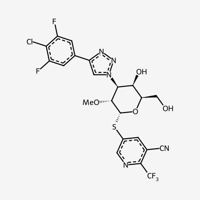 CO[C@@H]1[C@@H](n2cc(-c3cc(F)c(Cl)c(F)c3)nn2)[C@@H](O)[C@@H](CO)O[C@@H]1Sc1cnc(C(F)(F)F)c(C#N)c1